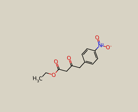 CCOC(=O)CC(=O)Cc1ccc([N+](=O)[O-])cc1